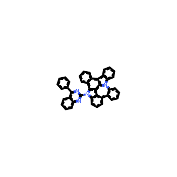 c1ccc(-c2nc(-n3c4cccc5c6ccccc6n6c7ccccc7c7c8ccccc8c3c(c54)c76)nc3ccccc23)cc1